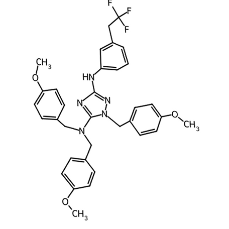 COc1ccc(CN(Cc2ccc(OC)cc2)c2nc(Nc3cccc(CC(F)(F)F)c3)nn2Cc2ccc(OC)cc2)cc1